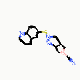 N#CB1Cc2cn(Sc3ccc4ncccc4c3)nc2C1